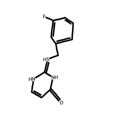 O=c1cc[nH]c(=[SH]Cc2cccc(F)c2)[nH]1